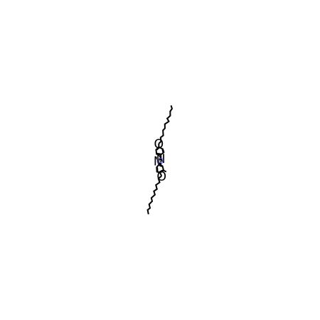 CCCCCCCCCCCCOc1ccc(/N=N/c2ccc(OCCCCCCCCCCCC)c(C)c2)cc1